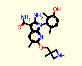 Cc1cc2c(C(N)=O)c(N)n(-c3c(C)ccc(O)c3C)c2nc1OCC1(C)CNC1